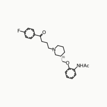 CC(=O)Nc1ccccc1OC[C@H]1CCCN(CCCC(=O)c2ccc(F)cc2)C1